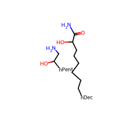 CCCCCC(O)CN.CCCCCCCCCCCCCCCCC(O)C(N)=O